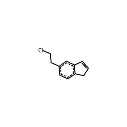 ClCCc1ccc2c(c1)C=CC2